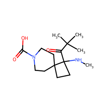 CNC1(C(=O)C(C)(C)C)CCC12CCN(C(=O)O)CC2